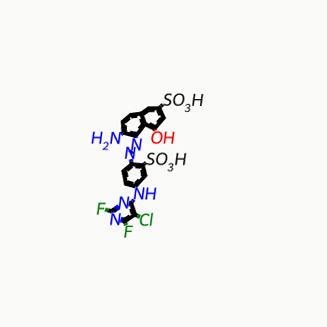 Nc1ccc2cc(S(=O)(=O)O)cc(O)c2c1/N=N/c1ccc(Nc2nc(F)nc(F)c2Cl)cc1S(=O)(=O)O